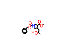 COC(=O)C1CN(C(=O)OCc2ccccc2)CC1C[C@@H](C)O